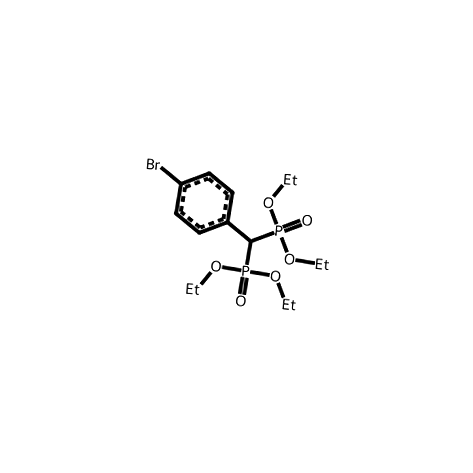 CCOP(=O)(OCC)C(c1ccc(Br)cc1)P(=O)(OCC)OCC